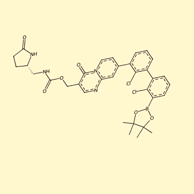 CC1(C)OB(c2cccc(-c3cccc(-c4ccn5c(=O)c(COC(=O)NC[C@@H]6CCC(=O)N6)cnc5c4)c3Cl)c2Cl)OC1(C)C